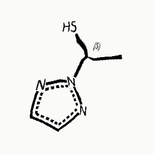 C[C@H](S)n1nccn1